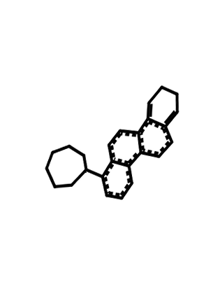 C1=c2ccc3c(ccc4c([C]5CCCCCC5)cccc43)c2=CCC1